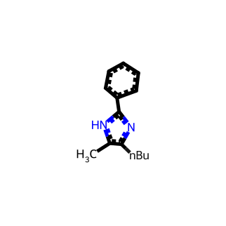 CCCCc1nc(-c2ccccc2)[nH]c1C